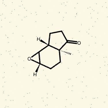 C[C@]12CC[C@@H]3OC3[C@@H]1CCC2=O